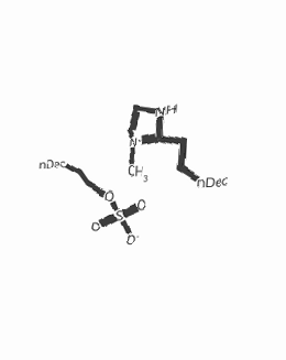 CCCCCCCCCCCCOS(=O)(=O)[O-].CCCCCCCCCCCCc1[nH]cc[n+]1C